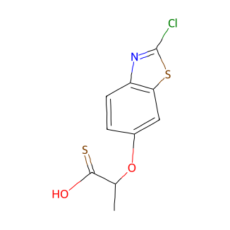 CC(Oc1ccc2nc(Cl)sc2c1)C(O)=S